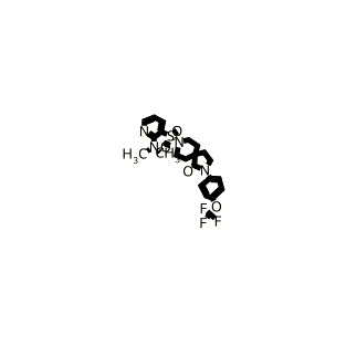 CN(C)c1ncccc1S(=O)(=O)N1CCC2(CCN(c3ccc(OC(F)(F)F)cc3)C2=O)CC1